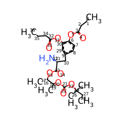 CCCC(=O)Oc1ccc(C[C@H](N)C(=O)O[C@@H](C)C(C)OC(=O)OC(C)(C)CC)cc1OC(=O)CCC